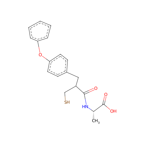 C[C@H](NC(=O)C(CS)Cc1ccc(Oc2ccccc2)cc1)C(=O)O